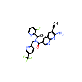 C#Cc1cc2cc(C(=O)N(Cc3ccc(C(F)(F)F)cn3)C(C)c3ncccc3F)cnc2nc1N